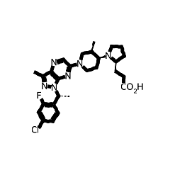 Cc1nn([C@H](C)c2ccc(Cl)cc2F)c2nc(N3CC[C@H](N4CCC[C@H]4CCC(=O)O)[C@H](C)C3)cnc12